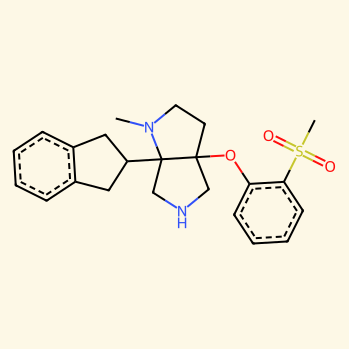 CN1CCC2(Oc3ccccc3S(C)(=O)=O)CNCC12C1Cc2ccccc2C1